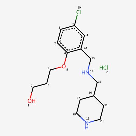 Cl.OCCCOc1ccc(Cl)cc1CNCC1CCNCC1